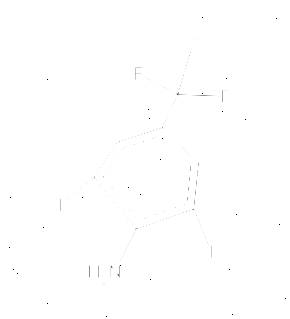 Nc1c(I)cc(C(F)(F)F)cc1I